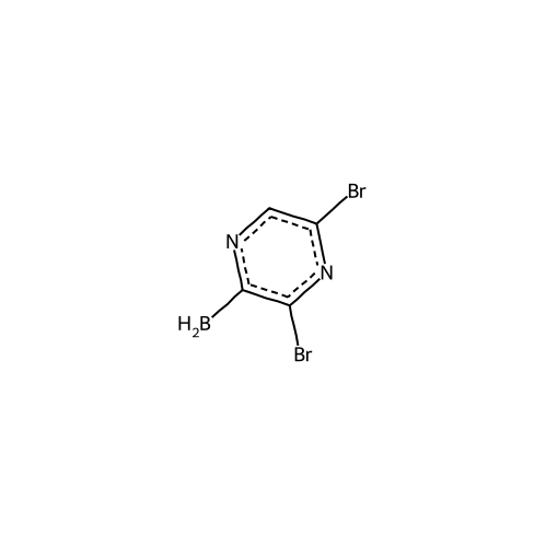 Bc1ncc(Br)nc1Br